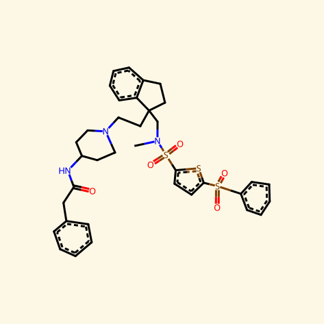 CN(CC1(CCN2CCC(NC(=O)Cc3ccccc3)CC2)CCc2ccccc21)S(=O)(=O)c1ccc(S(=O)(=O)c2ccccc2)s1